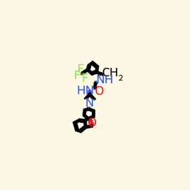 C=C(NCC(=O)NC1CN(C2CCC3(CC2)OCc2ccccc23)C1)c1cccc(C(F)(F)F)c1